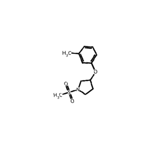 Cc1cccc(OC2CCN(S(C)(=O)=O)C2)c1